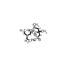 CCN(CC)CC.CN(C)CC(C)(C)CS(=O)(=O)O